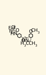 COc1ccc2c(c1)C(=CC(=O)c1ccc(NC(=O)C(F)(F)C(F)(F)Cl)cc1)NC(C)(C)C2